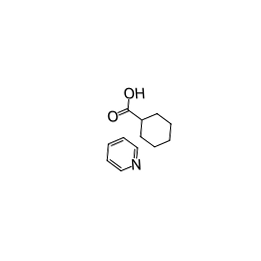 O=C(O)C1CCCCC1.c1ccncc1